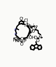 COc1cc2cc(c1Cl)N(C)C(=O)CC1(OC(=O)[C@H](C)N(C)C(=O)CCCN(C)C(=O)OCC3c4ccccc4-c4ccccc43)C[C@]1(C)C(O)[C@H](C)[C@@H]1C[C@@](O)(NC(=O)O1)[C@H](OC)/C=C/C=C(\C)C2